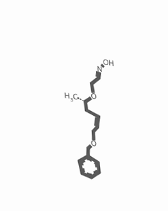 C[C@@H](C/C=C\COCc1ccccc1)OC/C=N/O